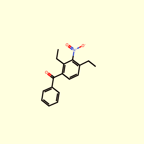 CCc1ccc(C(=O)c2ccccc2)c(CC)c1[N+](=O)[O-]